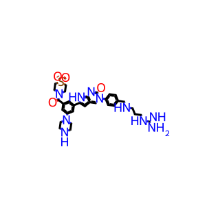 N=C(N)NCCCNCc1ccc(-n2cc3cc(-c4cc(C(=O)N5CCS(=O)(=O)CC5)cc(N5CCNCC5)c4)[nH]c3nc2=O)cc1